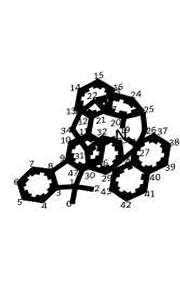 CC1(C)c2ccccc2-c2cc(-c3ccccc3)c(N(c3cc4ccc3CCc3ccc(cc3)CC4)c3cccc4ccccc34)cc21